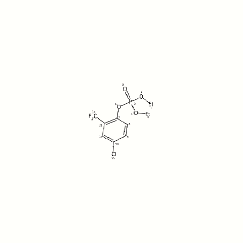 CCOP(=O)(OCC)Oc1ccc(Cl)cc1C(F)(F)F